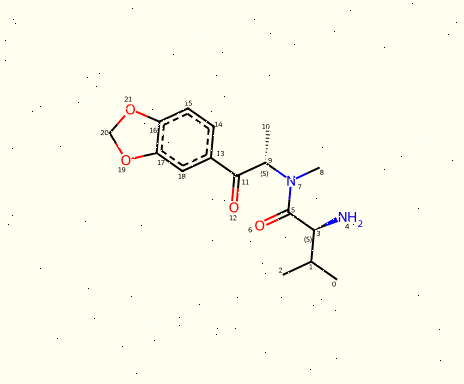 CC(C)[C@H](N)C(=O)N(C)[C@@H](C)C(=O)c1ccc2c(c1)OCO2